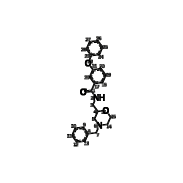 O=C(NCC1CN(Cc2ccccc2)CCO1)c1cccc(Oc2ccccc2)c1